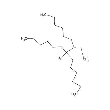 CCCCCCC(CC)[C]([Al])(CCCCCC)CCCCCC